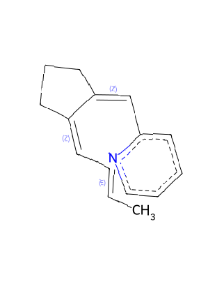 C/C=C/C=C1/CCC/C1=C/c1ccccn1